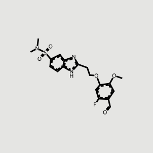 COc1cc(C=O)c(F)cc1OCCc1nc2cc(S(=O)(=O)N(C)C)ccc2[nH]1